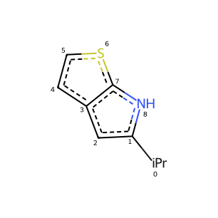 CC(C)c1cc2ccsc2[nH]1